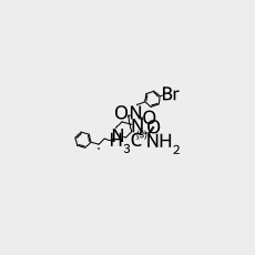 C[C@@H](C(N)=O)N1C(=O)N(Cc2ccc(Br)cc2)C(=O)C12CCN(CC[CH]c1ccccc1)CC2